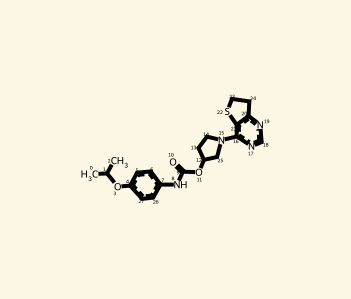 CC(C)Oc1ccc(NC(=O)OC2CCN(c3ncnc4c3SCC4)C2)cc1